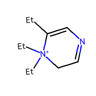 CCC1=CN=CC[N+]1(CC)CC